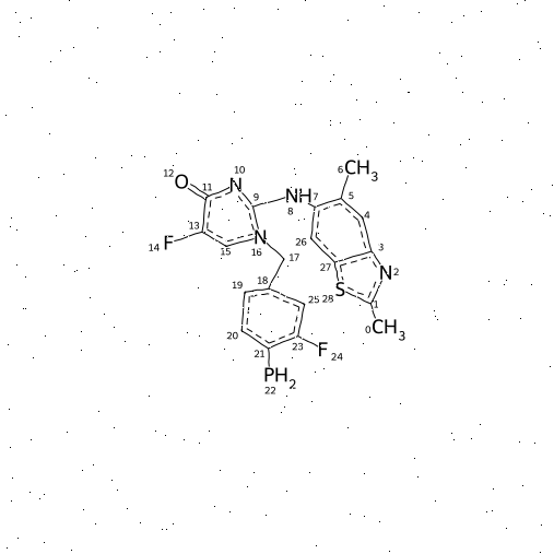 Cc1nc2cc(C)c(Nc3nc(=O)c(F)cn3Cc3ccc(P)c(F)c3)cc2s1